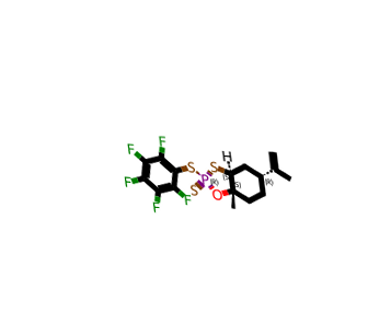 C=C(C)[C@@H]1CC[C@]2(C)O[P@](=S)(Sc3c(F)c(F)c(F)c(F)c3F)S[C@H]2C1